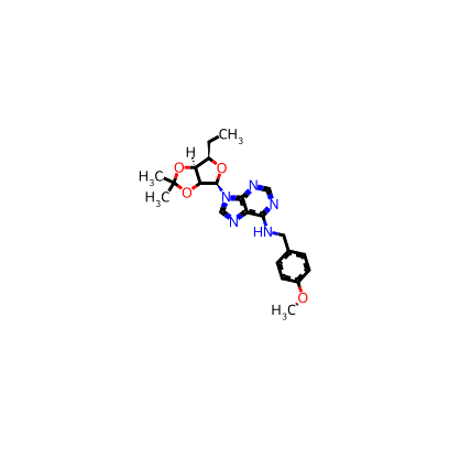 CC[C@H]1O[C@@H](n2cnc3c(NCc4ccc(OC)cc4)ncnc32)C2OC(C)(C)O[C@H]21